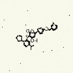 CC(C)c1ccc(C2CCCC2)c(Sc2c(O)cc(-c3ccc(OCc4cccnc4)cc3)oc2=O)c1